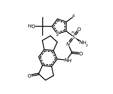 CC(C)(O)c1cc(F)c([S@](N)(=O)=NC(=O)Nc2c3c(cc4c2CCC4=O)CCC3)s1